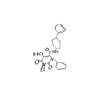 CCn1c(=O)c(O)c(C(=O)NC2CCC(c3ccccc3)CC2)n(Cc2ccccc2)c1=O